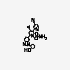 N#Cc1ccnc(-c2c(C3CC3)cc(-c3ccc4ncn([C@@H]5CCC[C@H]5O)c4c3)nc2OC(N)=O)c1